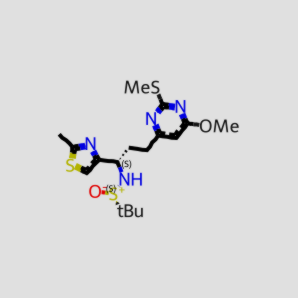 COc1cc(CC[C@H](N[S@+]([O-])C(C)(C)C)c2csc(C)n2)nc(SC)n1